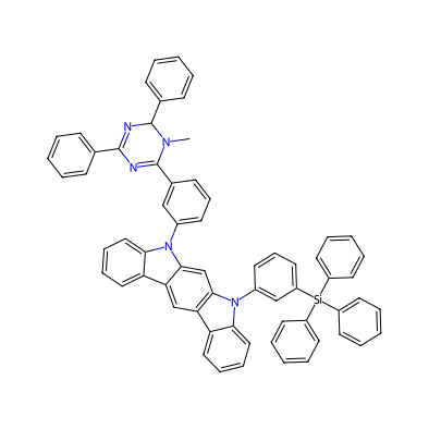 CN1C(c2cccc(-n3c4ccccc4c4cc5c6ccccc6n(-c6cccc([Si](c7ccccc7)(c7ccccc7)c7ccccc7)c6)c5cc43)c2)=NC(c2ccccc2)=NC1c1ccccc1